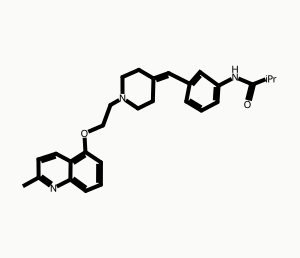 Cc1ccc2c(OCCN3CCC(=Cc4cccc(NC(=O)C(C)C)c4)CC3)cccc2n1